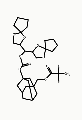 CC(F)(F)C(=O)OCC12CC3CC(C1)CC(OC(=O)OC(C1COC4(CCCC4)O1)C1COC4(CCCC4)O1)(C3)C2